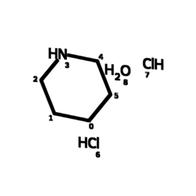 C1CCNCC1.Cl.Cl.O